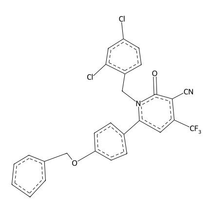 N#Cc1c(C(F)(F)F)cc(-c2ccc(OCc3ccccc3)cc2)n(Cc2ccc(Cl)cc2Cl)c1=O